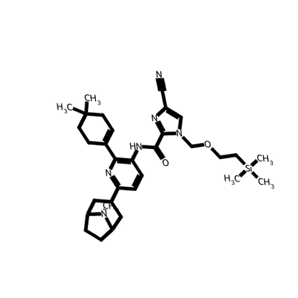 CN1C2CCC1CC(c1ccc(NC(=O)c3nc(C#N)cn3COCC[Si](C)(C)C)c(C3=CCC(C)(C)CC3)n1)C2